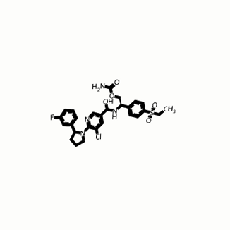 CCS(=O)(=O)c1ccc([C@H](COC(N)=O)NC(O)c2cnc(N3CCCC3c3cccc(F)c3)c(Cl)c2)cc1